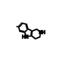 [c]1ccc2c3c([nH]c2c1)CCNC3